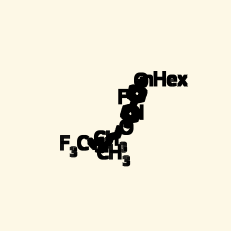 CCCCCCOc1ccc(-c2ccc(OCCCC[Si](C)(C)CCC(F)(F)F)cn2)c(F)c1